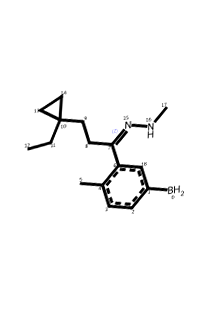 Bc1ccc(C)c(/C(CCC2(CC)CC2)=N\NC)c1